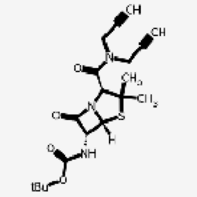 C#CCN(CC#C)C(=O)[C@@H]1N2C(=O)[C@@H](NC(=O)OC(C)(C)C)[C@H]2SC1(C)C